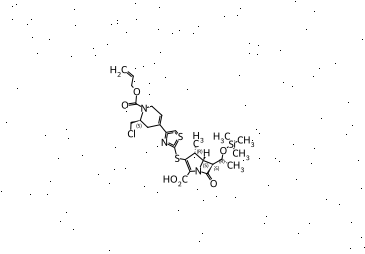 C=CCOC(=O)N1CC=C(c2csc(SC3=C(C(=O)O)N4C(=O)[C@H]([C@@H](C)O[Si](C)(C)C)[C@H]4[C@H]3C)n2)C[C@H]1CCl